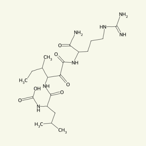 CCC(C)C(NC(=O)C(CC(C)C)NC(=O)O)C(=O)C(=O)NC(CCCNC(=N)N)C(N)=O